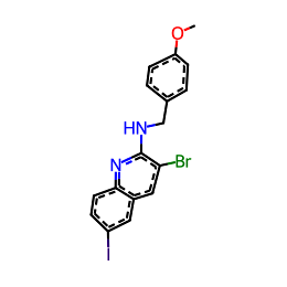 COc1ccc(CNc2nc3ccc(I)cc3cc2Br)cc1